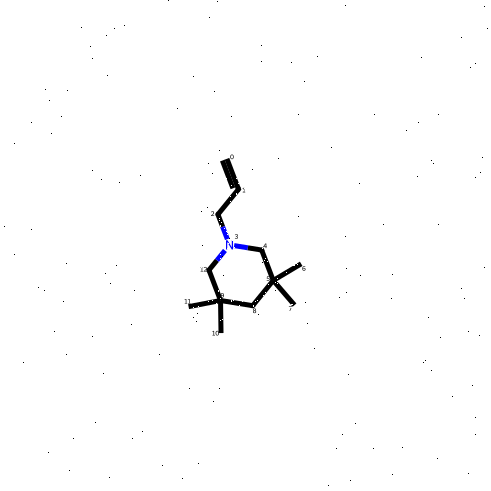 C=CCN1CC(C)(C)CC(C)(C)C1